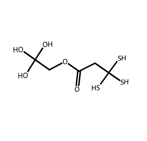 O=C(CC(S)(S)S)OCC(O)(O)O